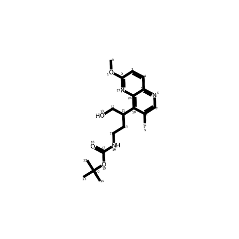 COc1ccc2ncc(F)c(C(CO)CCNC(=O)OC(C)(C)C)c2n1